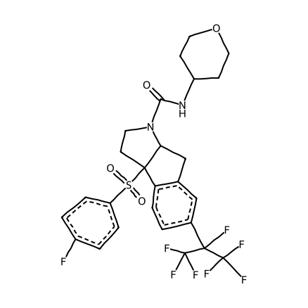 O=C(NC1CCOCC1)N1CCC2(S(=O)(=O)c3ccc(F)cc3)c3ccc(C(F)(C(F)(F)F)C(F)(F)F)cc3CC12